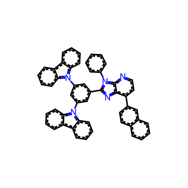 c1ccc(-n2c(-c3cc(-n4c5ccccc5c5ccccc54)cc(-n4c5ccccc5c5ccccc54)c3)nc3c(-c4ccc5ccccc5c4)ccnc32)cc1